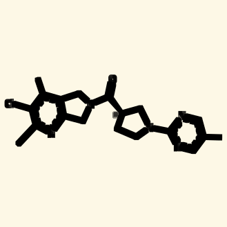 Cc1cnc(N2CC[C@@H](C(=O)N3Cc4nc(C)c(Cl)c(C)c4C3)C2)nc1